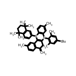 C=C1CC2=C(B(c3ccc4c(c3)C(C)(C)CCC4(C)C)c3ccc(C)cc3N2c2c(C)cc(C(C)(C)C)cc2C)c2cc(C)ccc21